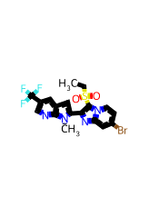 CCS(=O)(=O)c1c(-c2cc3cc(C(F)(F)F)cnc3n2C)nc2cc(Br)ccn12